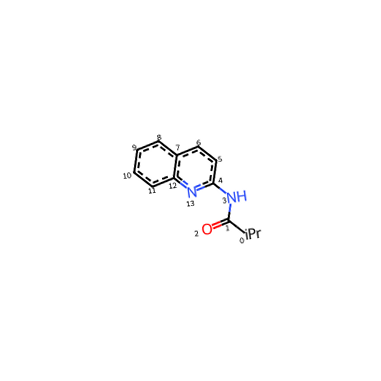 CC(C)C(=O)Nc1ccc2ccccc2n1